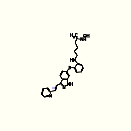 C=C(CCCCNc1ccccc1Sc1ccc2c(/C=C/c3ccccn3)n[nH]c2c1)NO